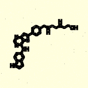 OCCNCCNCc1ccc(-c2cc3ncnc(Nc4ccc5[nH]ccc5c4)c3s2)cc1